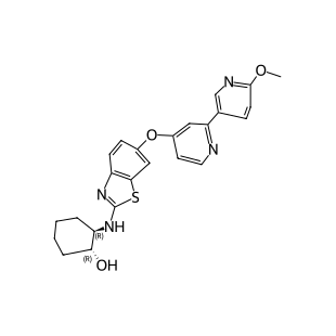 COc1ccc(-c2cc(Oc3ccc4nc(N[C@@H]5CCCC[C@H]5O)sc4c3)ccn2)cn1